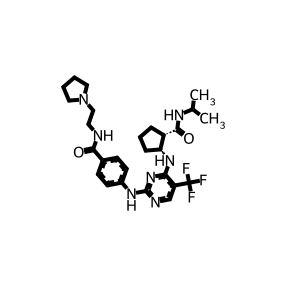 CC(C)NC(=O)[C@H]1CCC[C@H]1Nc1nc(Nc2ccc(C(=O)NCCN3CCCC3)cc2)ncc1C(F)(F)F